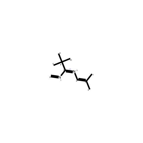 C=N/C(=N\C=C(C)C)C(C)(C)C